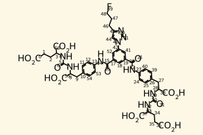 O=C(O)CCC(NC(=O)NC(Cc1ccc(NC(=O)c2cc(C(=O)Nc3ccc(CC(NC(=O)N[C@@H](CCC(=O)O)C(=O)O)C(=O)O)cc3)cc(-n3cc(CCCF)nn3)c2)cc1)C(=O)O)C(=O)O